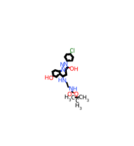 CC(C)(C)OC(=O)NCCNc1cc2c(O)n(-c3ccc(Cl)cc3)n[n+]2c2ccccc12.[OH-]